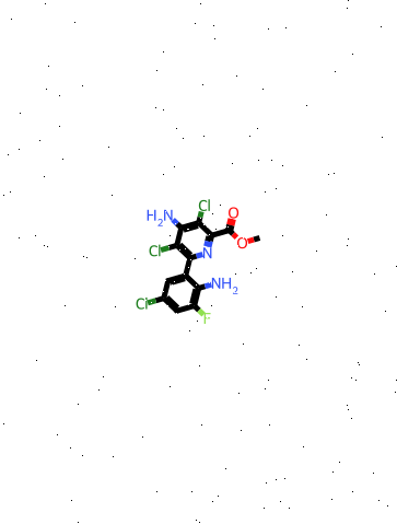 COC(=O)c1nc(-c2cc(Cl)cc(F)c2N)c(Cl)c(N)c1Cl